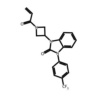 C=CC(=O)N1CC(n2c(=O)n(-c3ccc(C(F)(F)F)cc3)c3ccccc32)C1